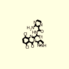 CCC(NC(=O)c1nccnc1N)c1nc2c(Cl)ccc(Cl)c2c(=O)n1-c1cc[nH]n1